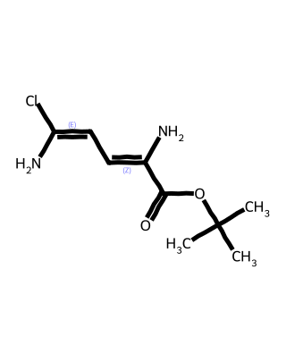 CC(C)(C)OC(=O)/C(N)=C/C=C(\N)Cl